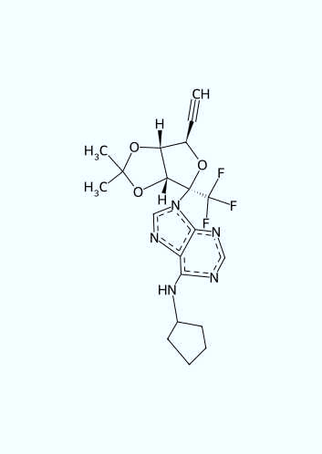 C#C[C@H]1O[C@](n2cnc3c(NC4CCCC4)ncnc32)(C(F)(F)F)[C@@H]2OC(C)(C)O[C@@H]21